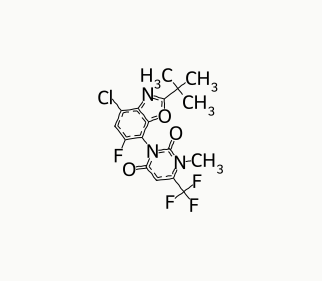 Cn1c(C(F)(F)F)cc(=O)n(-c2c(F)cc(Cl)c3nc(C(C)(C)C)oc23)c1=O